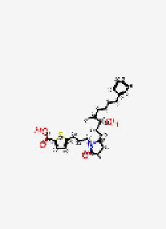 C[C@@H](CCCCc1ccccc1)[C@H](O)CC[C@H]1CCC(=O)N1CCCc1ccc(C(=O)O)s1